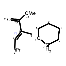 C1CC[SiH2]OC1.CCC/C=C(\C)C(=O)OC